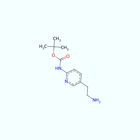 CC(C)(C)OC(=O)Nc1ccc(CCN)cn1